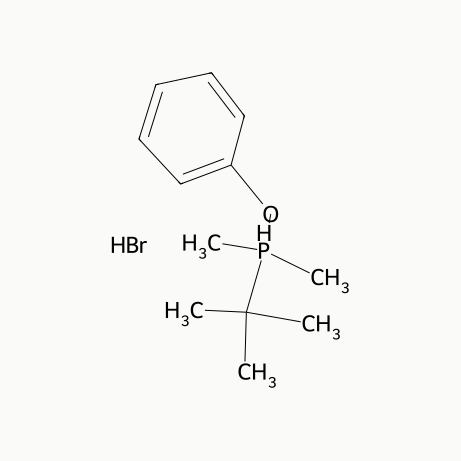 Br.CC(C)(C)[PH](C)(C)Oc1ccccc1